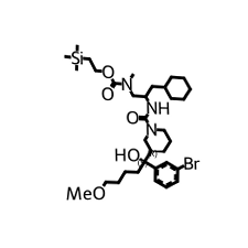 COCCCC[C@@](O)(c1cccc(Br)c1)[C@@H]1CCCN(C(=O)NC(CC2CCCCC2)CN(C)C(=O)OCC[Si](C)(C)C)C1